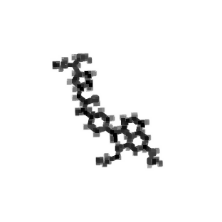 CCOc1cc(OC)cc2ncnc(Nc3ccc(NC(=O)Cn4cc(C(C)C)nn4)cc3)c12